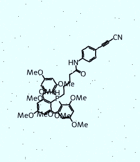 COc1cc(OC)c([PH](CCCCC(=O)Nc2ccc(C#CC#N)cc2)(c2c(OC)cc(OC)cc2OC)c2c(OC)cc(OC)cc2OC)c(OC)c1